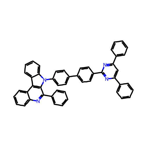 c1ccc(-c2cc(-c3ccccc3)nc(-c3ccc(-c4ccc(-n5c6ccccc6c6c7ccccc7nc(-c7ccccc7)c65)cc4)cc3)n2)cc1